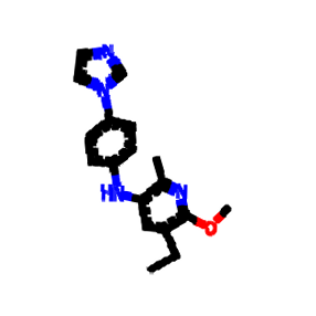 CCc1cc(Nc2ccc(-n3ccnc3)cc2)c(C)nc1OC